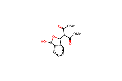 COC(=O)C(C(=O)OC)C1OB(O)c2ccccc21